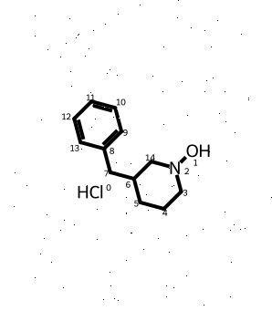 Cl.ON1CCCC(Cc2ccccc2)C1